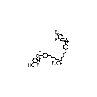 CCOc1ccc(OC(F)(F)C2CCC(CCCCCC(F)(CCCCCC3CCC(C(F)(F)Oc4ccc(O)c(F)c4F)CC3)C(F)(F)F)CC2)c(F)c1F